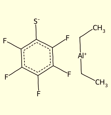 C[CH2][Al+][CH2]C.Fc1c(F)c(F)c([S-])c(F)c1F